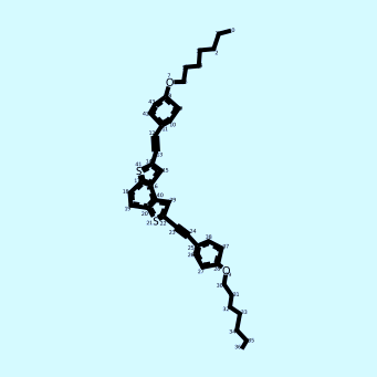 CCCCCCCOc1ccc(C#Cc2cc3c(ccc4sc(C#Cc5ccc(OCCCCCCC)cc5)cc43)s2)cc1